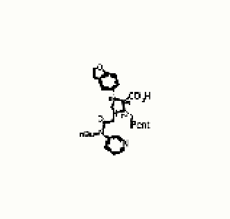 CCCCN(C(=O)CN1C[C@H](c2ccc3c(c2)CCO3)[C@@H](C(=O)O)[C@@H]1CC(C)CCC)c1cccnc1